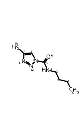 CCCCNC(=O)n1cc(S)nn1